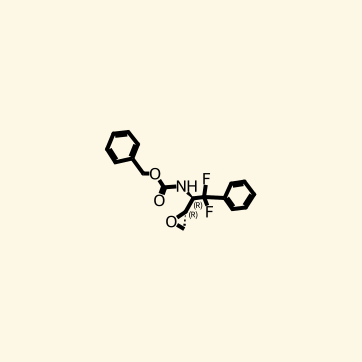 O=C(N[C@H]([C@@H]1CO1)C(F)(F)c1ccccc1)OCc1ccccc1